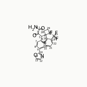 NC(=O)C(=O)C(c1ccc(-c2ncco2)cc1)C1(c2ccccc2C(F)(F)F)CCC1